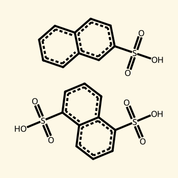 O=S(=O)(O)c1ccc2ccccc2c1.O=S(=O)(O)c1cccc2c(S(=O)(=O)O)cccc12